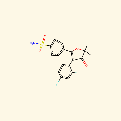 CC1(C)OC(c2ccc(S(N)(=O)=O)cc2)=C(c2ccc(F)cc2F)C1=O